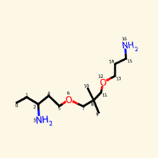 CCC(N)CCOCC(C)(C)COCCCN